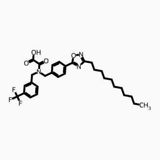 CCCCCCCCCCCc1noc(-c2ccc(CN(Cc3cccc(C(F)(F)F)c3)C(=O)C(=O)O)cc2)n1